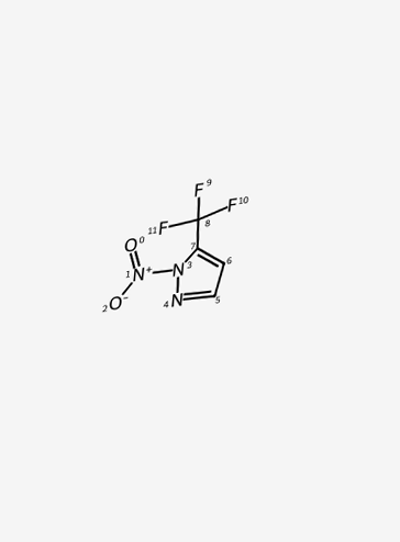 O=[N+]([O-])n1nccc1C(F)(F)F